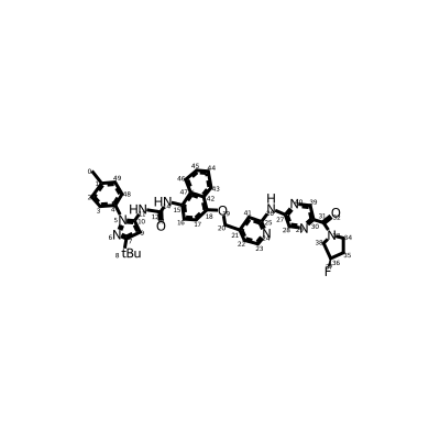 Cc1ccc(-n2nc(C(C)(C)C)cc2NC(=O)Nc2ccc(OCc3ccnc(Nc4cnc(C(=O)N5CC[C@@H](F)C5)cn4)c3)c3ccccc23)cc1